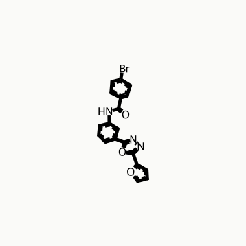 O=C(Nc1cccc(-c2nnc(-c3ccco3)o2)c1)c1ccc(Br)cc1